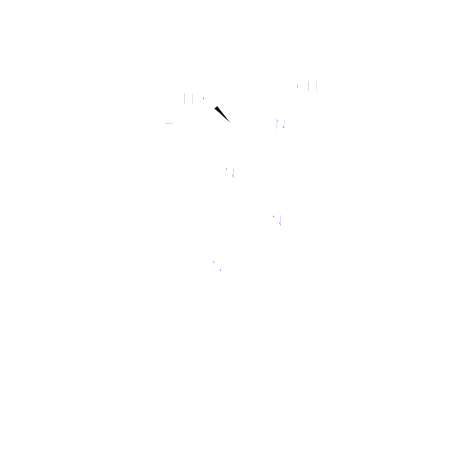 Cc1ccc2c3ccccc3n(-c3ccccn3)c2c1N1C=CN(C)[C@@H]1C